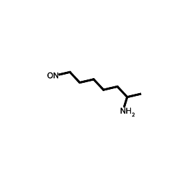 CC(N)CCCCCN=O